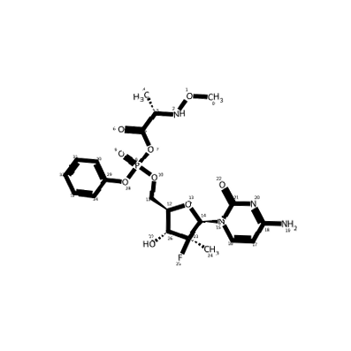 CON[C@@H](C)C(=O)OP(=O)(OC[C@H]1O[C@@H](n2ccc(N)nc2=O)[C@@](C)(F)[C@@H]1O)Oc1ccccc1